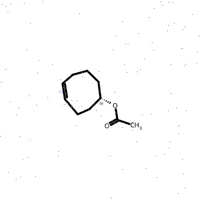 CC(=O)O[C@@H]1CC/C=C\CCC1